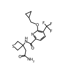 NC(=O)CC1(NC(=O)c2ccc(C(F)(F)F)c(OCC3CC3)n2)CSC1